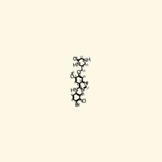 COc1cc2c(Nc3ccc(Br)c(Cl)c3F)ncnc2cc1OC[C@@H]1CNCC(=O)N1